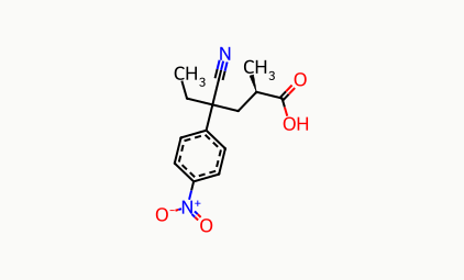 CCC(C#N)(C[C@@H](C)C(=O)O)c1ccc([N+](=O)[O-])cc1